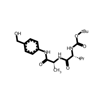 CC(C)[C@@H](NC(=O)OC(C)(C)C)C(=O)N[C@H](C)C(=O)Nc1ccc(CO)cc1